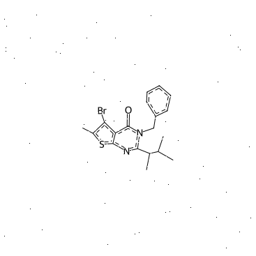 Cc1sc2nc(C(C)C(C)C)n(Cc3ccccc3)c(=O)c2c1Br